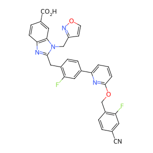 N#Cc1ccc(COc2cccc(-c3ccc(Cc4nc5ccc(C(=O)O)cc5n4Cc4ccon4)c(F)c3)n2)c(F)c1